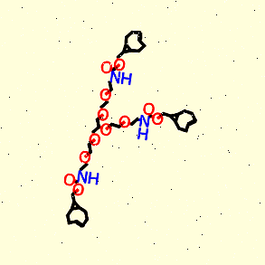 O=C(NCCOCCOCC(COCCOCCNC(=O)OCC1C2CC/C=C/CCC21)OCCOCCNC(=O)OCC1C2CC/C=C/CCC21)OCC1C2CC/C=C/CCC21